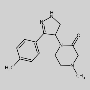 Cc1ccc(C2=NNCC2N2CCN(C)CC2=O)cc1